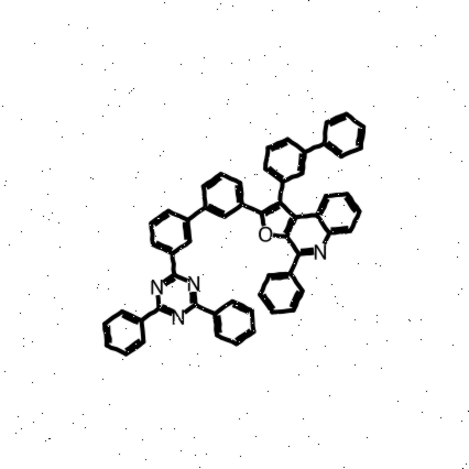 c1ccc(-c2cccc(-c3c(-c4cccc(-c5cccc(-c6nc(-c7ccccc7)nc(-c7ccccc7)n6)c5)c4)oc4c(-c5ccccc5)nc5ccccc5c34)c2)cc1